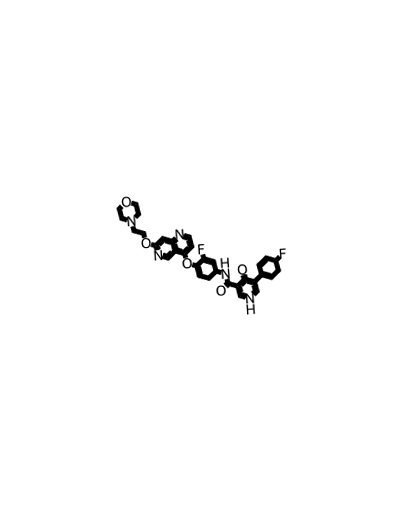 O=C(NC1C=C(F)C(Oc2ccnc3cc(OCCN4CCOCC4)ncc23)=CC1)c1c[nH]cc(C2=CCC(F)C=C2)c1=O